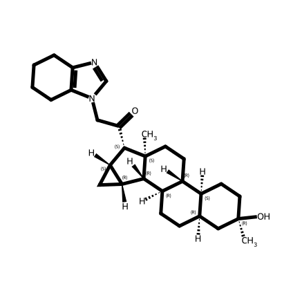 C[C@@]1(O)CC[C@H]2[C@H](CC[C@@H]3[C@@H]2CC[C@@]2(C)[C@H]3[C@@H]3C[C@@H]3[C@@H]2C(=O)Cn2cnc3c2CCCC3)C1